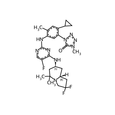 Cc1cc(C2CC2)c(-n2nnn(C)c2=O)cc1Nc1ncc(F)c(N[C@H]2C[C@@H]3CC(F)(F)CN3C(C)(C)C2)n1